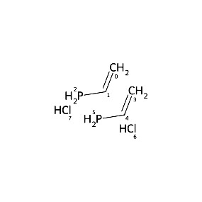 C=CP.C=CP.Cl.Cl